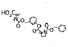 C[C@@H](C(=O)O)N(C)C(=O)OCc1cccc(OC(=O)[C@@H]2CCN2C(=O)OCc2ccccc2)c1